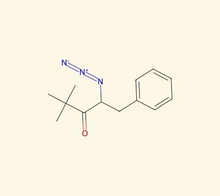 CC(C)(C)C(=O)C(Cc1ccccc1)N=[N+]=[N-]